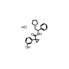 Cl.O=C(NC(CN1CCCC1)c1ccccc1)C1(c2cccc(O)c2)CC1